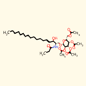 CCCCCCCCCCCCC/C=C/[C@@H](O)[C@H](CO[C@@H]1O[C@H](COC(C)=O)[C@H](OC(C)=O)[C@H](OC(C)=O)[C@H]1OC(C)=O)NC(=O)CC